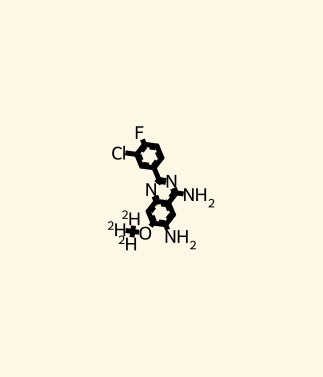 [2H]C([2H])([2H])Oc1cc2nc(-c3ccc(F)c(Cl)c3)nc(N)c2cc1N